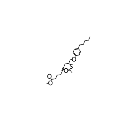 CCCCCc1ccc(OCC(CC#CCCCC(=O)OC)SC(C)=O)cc1